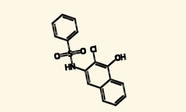 O=S(=O)(Nc1cc2ccccc2c(O)c1Cl)c1ccccc1